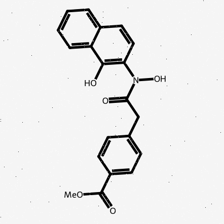 COC(=O)c1ccc(CC(=O)N(O)c2ccc3ccccc3c2O)cc1